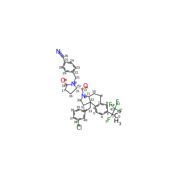 CC(F)(c1ccc2c(c1)CCC1N(C(=O)[C@@H]3CCC(=O)N3Cc3ccc(C#N)cc3)CCC21Cc1cccc(Cl)c1)C(F)(F)F